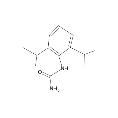 CC(C)c1cccc(C(C)C)c1NC(N)=O